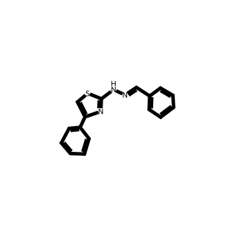 C(=N\Nc1nc(-c2ccccc2)cs1)/c1ccccc1